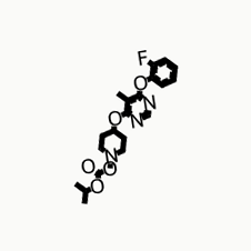 Cc1c(Oc2ccccc2F)ncnc1OC1CCN(OC(=O)OC(C)C)CC1